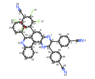 N#Cc1ccc(-c2nc3cc(-c4c(F)c(F)c(C#N)c(F)c4F)c4c(-c5ccccc5)nc5ccccc5c4c3nc2-c2ccc(C#N)cc2)cc1